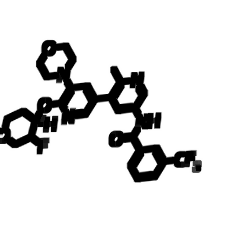 [2H]C1(Oc2ncc(-c3cc(NC(=O)c4cccc(C(F)(F)F)c4)cnc3C)cc2N2CCOCC2)CCOCC1F